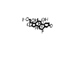 CC1C[C@H]2[C@@H]3C[C@H](F)C4=CC(=O)C=C[C@]4(C)[C@@]3(Cl)C(O)C[C@]2(C)[C@@]1(O)C(=O)CO